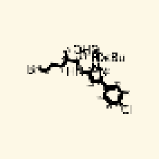 CC(C)(C)OC=O.CC(CCCBr)C(=O)Nc1cc(-c2ccc(Cl)cc2)n[nH]1